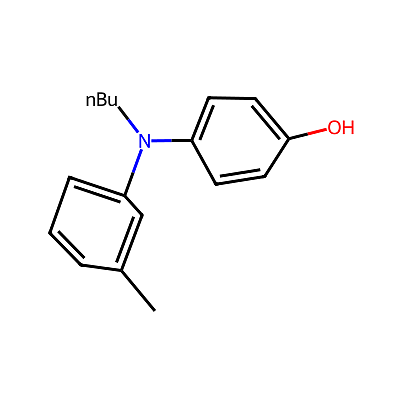 CCCCN(c1ccc(O)cc1)c1cccc(C)c1